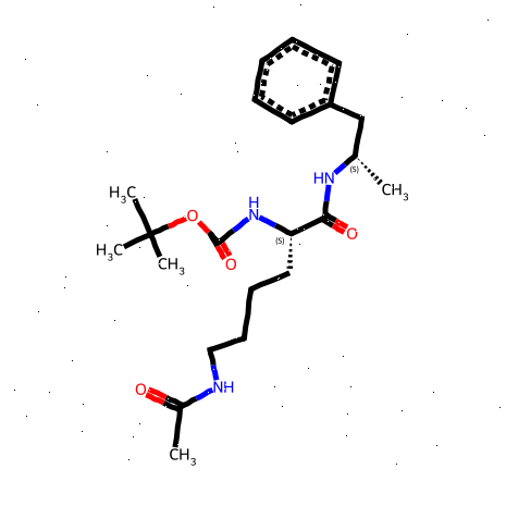 CC(=O)NCCCC[C@H](NC(=O)OC(C)(C)C)C(=O)N[C@@H](C)Cc1ccccc1